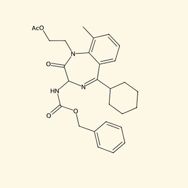 CC(=O)OCCN1C(=O)C(NC(=O)OCc2ccccc2)N=C(C2CCCCC2)c2cccc(C)c21